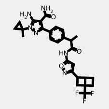 CC(C(=O)Nc1cc(C2CC3(C(F)(F)F)CCC23)no1)c1ccc(-c2nn(C3(C)CC3)c(N)c2C(N)=O)cc1